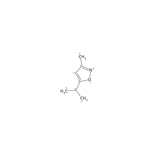 Cc1cc(C(C)C)on1